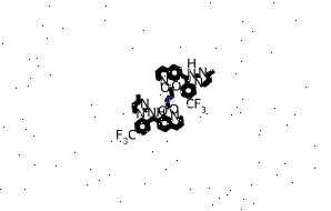 Cc1ccnc(N[C@@H](c2ccc(C(F)(F)F)cc2)c2ccc3cccnc3c2OC(=O)/C=C/C(=O)Oc2c([C@@H](Nc3nccc(C)n3)c3ccc(C(F)(F)F)cc3)ccc3cccnc23)n1